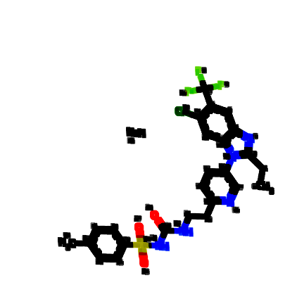 CCc1nc2cc(C(F)(F)F)c(Cl)cc2n1-c1ccc(CCNC(=O)NS(=O)(=O)c2ccc(C)cc2)nc1.[NaH]